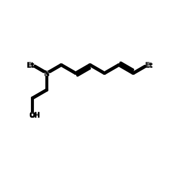 CCC=CCC=CCN(CC)CCO